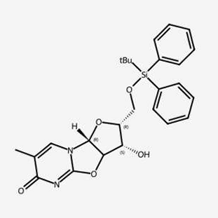 Cc1cn2c(nc1=O)OC1[C@@H](O)[C@@H](CO[Si](c3ccccc3)(c3ccccc3)C(C)(C)C)O[C@H]12